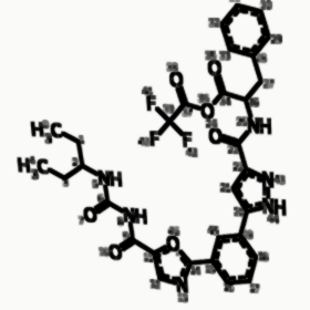 CCC(CC)NC(=O)NC(=O)c1cnc(-c2cccc(-c3cc(C(=O)NC(Cc4ccccc4)C(=O)OC(=O)C(F)(F)F)n[nH]3)c2)o1